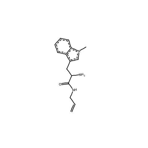 C=CCNC(=O)C(N)Cc1cn(C)c2ccccc12